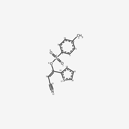 Cc1ccc(S(=O)(=O)O/C(=C/C#N)c2cccs2)cc1